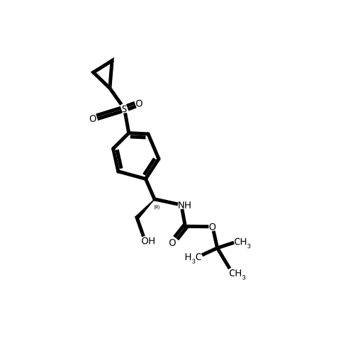 CC(C)(C)OC(=O)N[C@@H](CO)c1ccc(S(=O)(=O)C2CC2)cc1